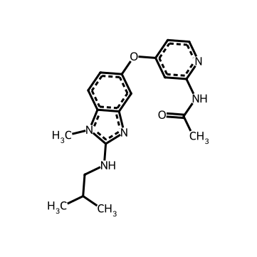 CC(=O)Nc1cc(Oc2ccc3c(c2)nc(NCC(C)C)n3C)ccn1